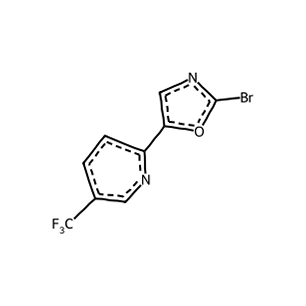 FC(F)(F)c1ccc(-c2cnc(Br)o2)nc1